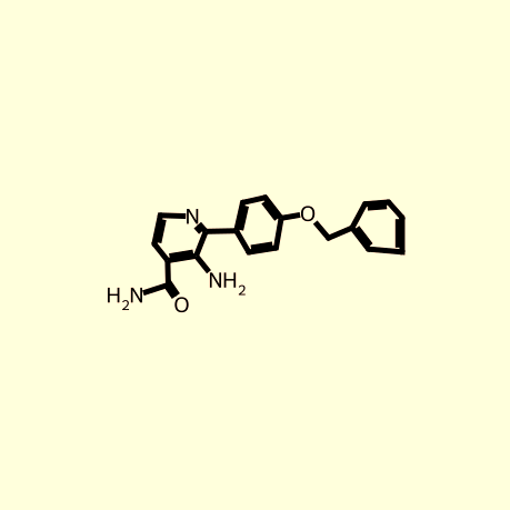 NC(=O)c1ccnc(-c2ccc(OCc3ccccc3)cc2)c1N